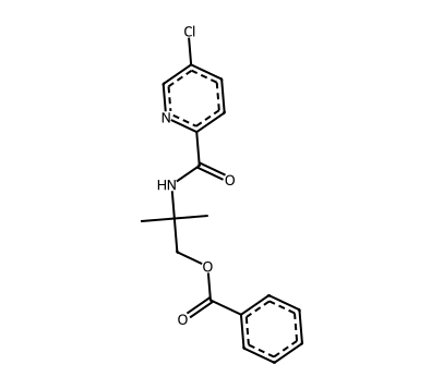 CC(C)(COC(=O)c1ccccc1)NC(=O)c1ccc(Cl)cn1